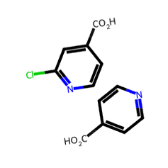 O=C(O)c1ccnc(Cl)c1.O=C(O)c1ccncc1